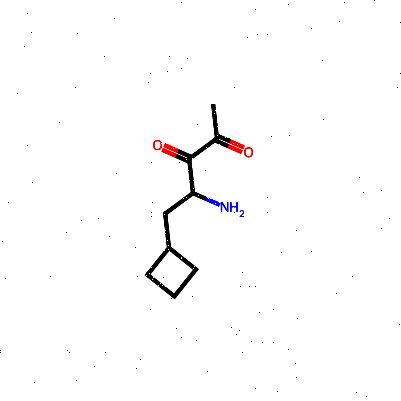 CC(=O)C(=O)C(N)CC1CCC1